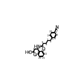 N#Cc1ccc(CCCCC(=O)NC(CC(=O)O)c2ccccc2)cc1